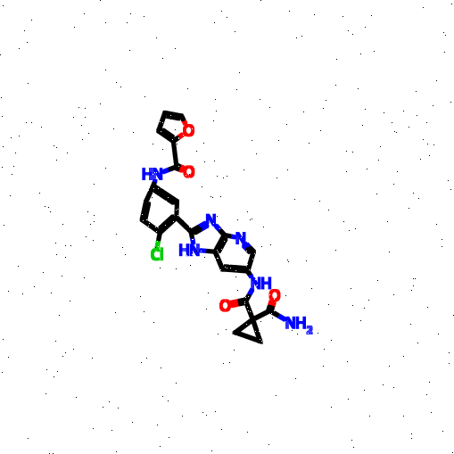 NC(=O)C1(C(=O)Nc2cnc3nc(-c4cc(NC(=O)c5ccco5)ccc4Cl)[nH]c3c2)CC1